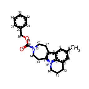 Cc1cc2c3c(c1)c1c(n3CCC2)CCN(C(=O)OCc2ccccc2)CC1